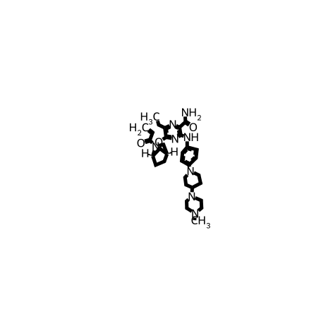 C=CC(=O)N1C[C@H]2CC[C@@H]1C2Oc1nc(Nc2ccc(N3CCC(N4CCN(C)CC4)CC3)cc2)c(C(N)=O)nc1CC